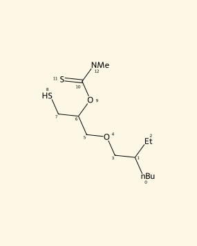 CCCCC(CC)COCC(CS)OC(=S)NC